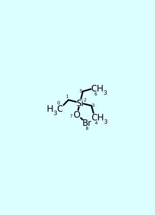 CC[Si](CC)(CC)OBr